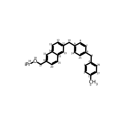 Cc1ccc(Cc2ccc(Cc3ccc4cc(COC(C)C)ccc4c3)cc2)cc1